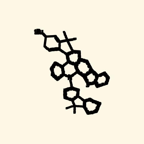 CC1(C)C2=CC(C(C)(C)C)CC=C2c2c(-c3ccccc3N(c3ccc4c(c3)-c3ccccc3C4(C)C)c3cccc4c3sc3ccccc34)cccc21